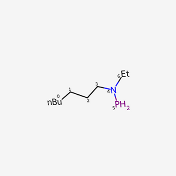 CCCCCCCN(P)CC